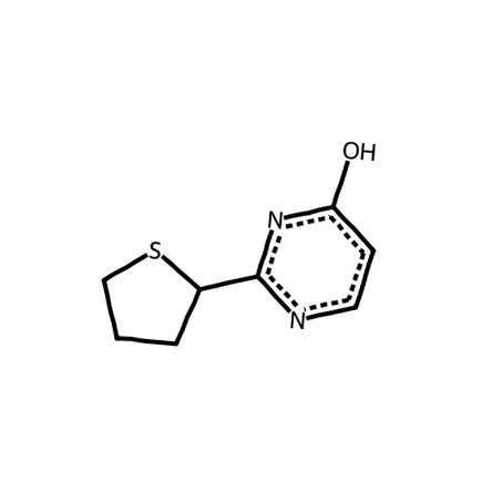 Oc1ccnc(C2CCCS2)n1